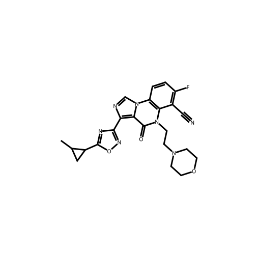 CC1CC1c1nc(-c2ncn3c2c(=O)n(CCN2CCOCC2)c2c(C#N)c(F)ccc23)no1